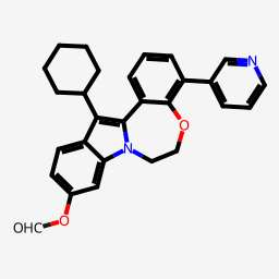 O=COc1ccc2c(C3CCCCC3)c3n(c2c1)CCOc1c(-c2cccnc2)cccc1-3